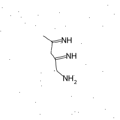 CC(=N)CC(=N)[CH]N